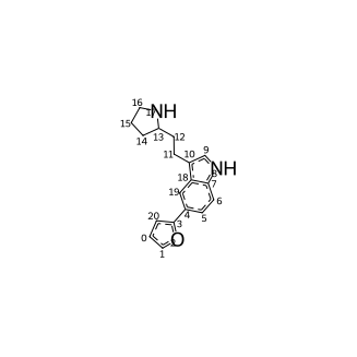 c1coc(-c2ccc3[nH]cc(CCC4CCCN4)c3c2)c1